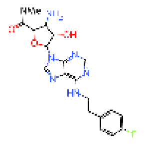 CNC(=O)C1OC(n2cnc3c(NCCc4ccc(F)cc4)ncnc32)C(O)C1N